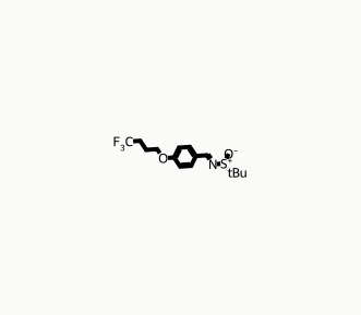 CC(C)(C)[S+]([O-])/N=C/c1ccc(OCCCC(F)(F)F)cc1